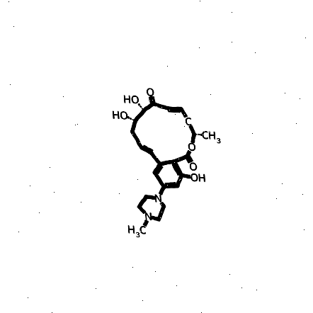 C[C@H]1C/C=C\C(=O)[C@@H](O)[C@@H](O)C/C=C/c2cc(N3CCN(C)CC3)cc(O)c2C(=O)O1